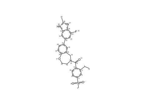 CCc1cc(S(C)(=O)=O)ccc1C(=O)N1CCOc2ccc(-c3cc(F)c4nc(C)[nH]c4c3)cc2C1